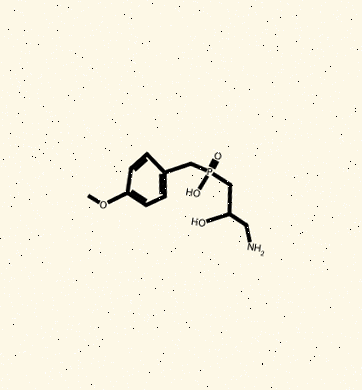 COc1ccc(CP(=O)(O)CC(O)CN)cc1